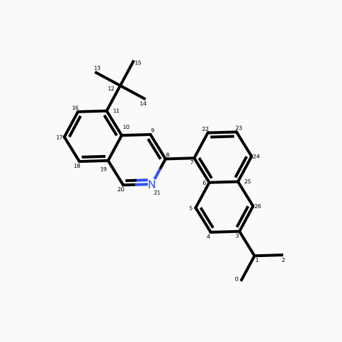 CC(C)c1ccc2c(-c3cc4c(C(C)(C)C)cccc4cn3)cccc2c1